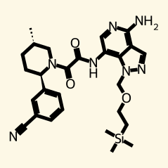 C[C@H]1CC[C@H](c2cccc(C#N)c2)N(C(=O)C(=O)Nc2cnc(N)c3cnn(COCC[Si](C)(C)C)c23)C1